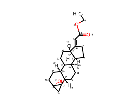 CCOC(=O)/C=C1\CC[C@H]2[C@@H]3CC[C@@H]4C5C[C@@]5(O)CC[C@@H]4[C@H]3CC[C@]12C